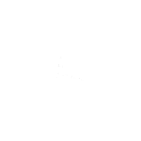 [Ag+].[Ag+].[Ag+].[Ag+].[O-2].[O-2]